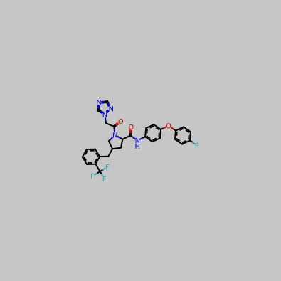 O=C(Nc1ccc(Oc2ccc(F)cc2)cc1)C1CC(Cc2ccccc2C(F)(F)F)CN1C(=O)Cn1cncn1